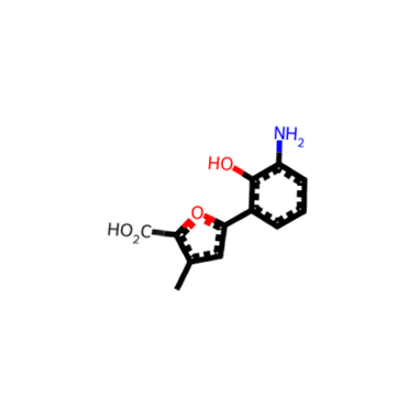 Cc1cc(-c2cccc(N)c2O)oc1C(=O)O